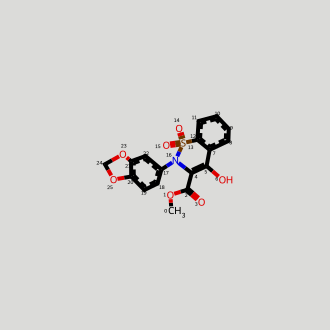 COC(=O)C1=C(O)c2ccccc2S(=O)(=O)N1c1ccc2c(c1)OCO2